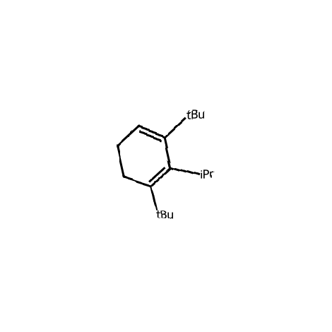 CC(C)C1=C(C(C)(C)C)CCC=C1C(C)(C)C